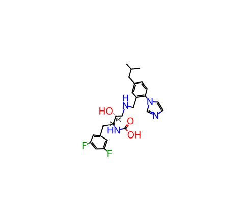 CC(C)Cc1ccc(-n2ccnc2)c(CNC[C@@H](O)[C@H](Cc2cc(F)cc(F)c2)NC(=O)O)c1